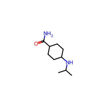 CC(C)NC1CCC(C(N)=O)CC1